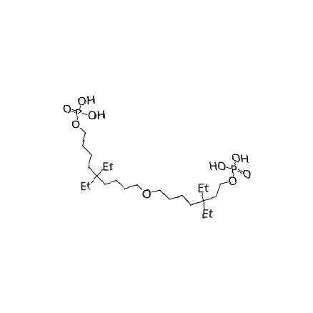 CCC(CC)(CCCCOCCCCC(CC)(CC)CCOP(=O)(O)O)CCCCOP(=O)(O)O